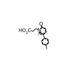 Cc1ccc(-c2ccc(=O)n(CCC(=O)O)n2)cc1